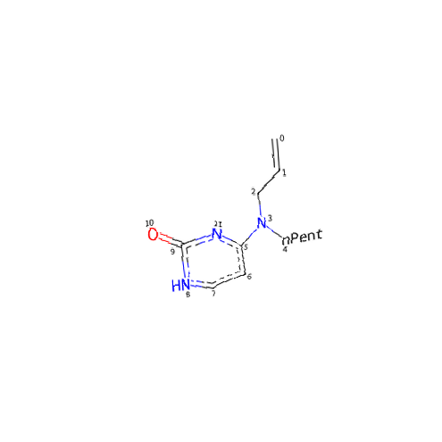 C=CCN(CCCCC)c1cc[nH]c(=O)n1